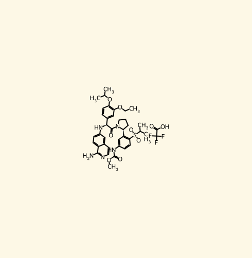 CCOc1cc([C@H](Nc2ccc3c(N)nccc3c2)C(=O)N2CCC[C@H]2c2cc(NC(=O)OC)ccc2S(=O)(=O)C(C)C)ccc1OC(C)C.O=C(O)C(F)(F)F